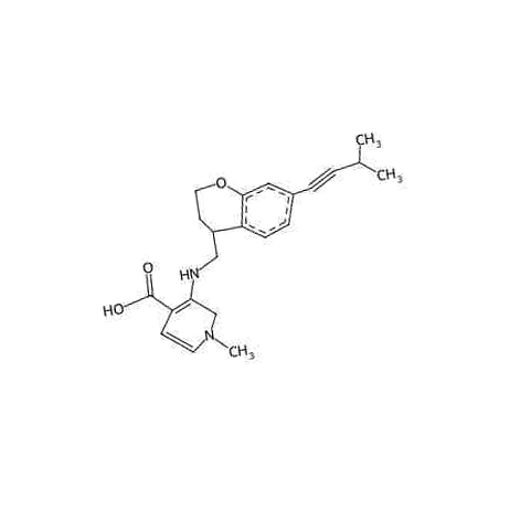 CC(C)C#Cc1ccc2c(c1)OCCC2CNC1=C(C(=O)O)C=CN(C)C1